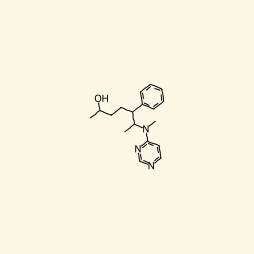 CC(O)CCC(c1ccccc1)C(C)N(C)c1ccncn1